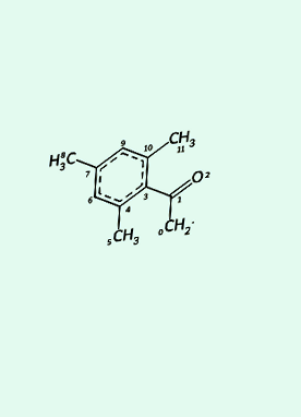 [CH2]C(=O)c1c(C)cc(C)cc1C